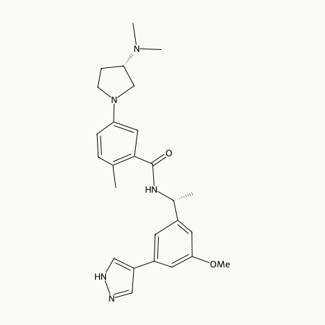 COc1cc(-c2cn[nH]c2)cc([C@@H](C)NC(=O)c2cc(N3CC[C@H](N(C)C)C3)ccc2C)c1